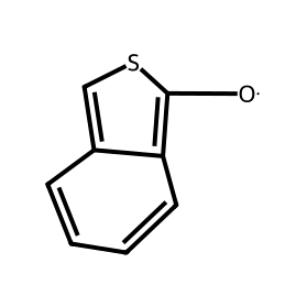 [O]c1scc2ccccc12